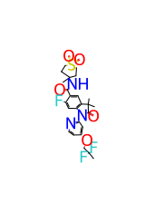 CC(F)(F)COc1ccnc(N2C(=O)C(C)(C)c3cc(C(=O)NC4(C)CCS(=O)(=O)CC4)c(F)cc32)c1